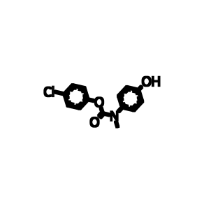 CN(C(=O)Oc1ccc(Cl)cc1)c1ccc(O)cc1